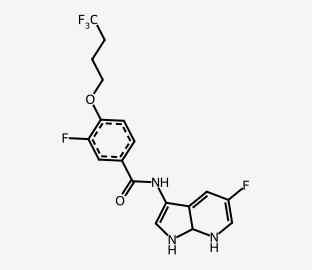 O=C(NC1=CNC2NC=C(F)C=C12)c1ccc(OCCCC(F)(F)F)c(F)c1